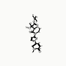 Cn1cc(-n2ccc(N3CCOC(C(C)(O)C(=O)OC(C)(C)C)C3=O)n2)ccc1=O